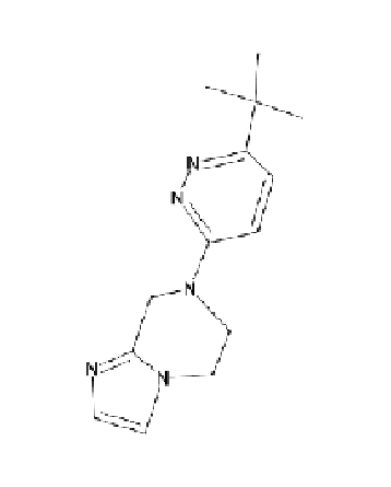 CC(C)(C)c1ccc(N2CCn3ccnc3C2)nn1